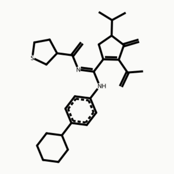 C=C(C)C1=C(/C(=N\C(=C)C2CCSC2)Nc2ccc(C3CCCCC3)cc2)CC(C(C)C)C1=C